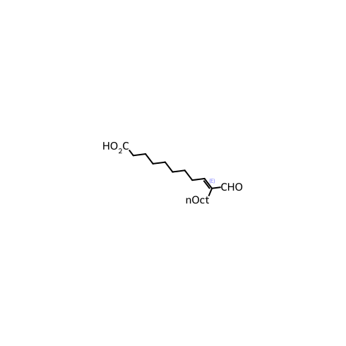 CCCCCCCC/C(C=O)=C\CCCCCCCC(=O)O